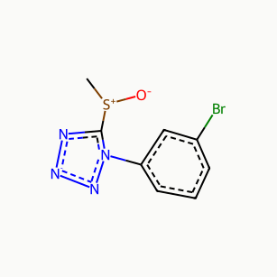 C[S+]([O-])c1nnnn1-c1cccc(Br)c1